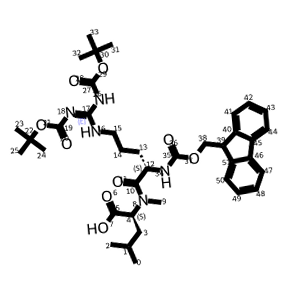 CC(C)C[C@@H](C(=O)O)N(C)C(=O)[C@H](CCCN/C(=N\C(=O)OC(C)(C)C)NC(=O)OC(C)(C)C)NC(=O)OCC1c2ccccc2-c2ccccc21